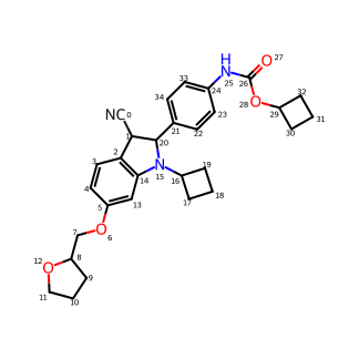 N#CC1c2ccc(OCC3CCCO3)cc2N(C2CCC2)C1c1ccc(NC(=O)OC2CCC2)cc1